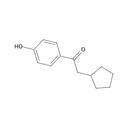 O=C(CC1CCCC1)c1ccc(O)cc1